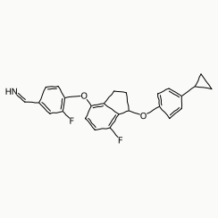 N=Cc1ccc(Oc2ccc(F)c3c2CCC3Oc2ccc(C3CC3)cc2)c(F)c1